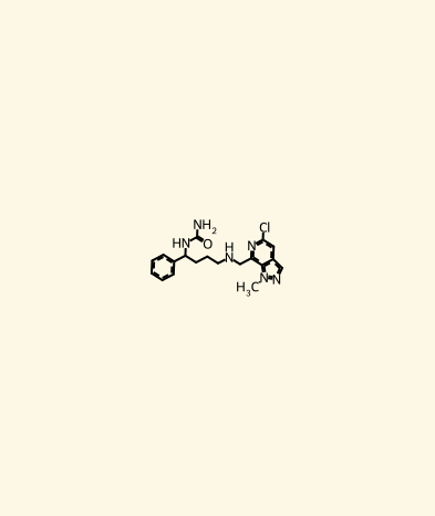 Cn1ncc2cc(Cl)nc(CNCCCC(NC(N)=O)c3ccccc3)c21